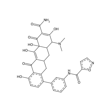 CN(C)C1C(O)=C(C(N)=O)C(=O)C2(O)C(O)=C3C(=O)c4c(O)ccc(-c5cccc(NC(=O)c6ccno6)c5)c4CC3CC12